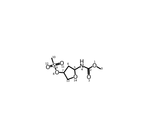 COC(=O)NC1CC(OS(C)(=O)=O)CO1